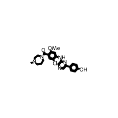 COc1cc(Nc2cncc(-c3ccc(O)cc3)n2)c(Cl)cc1C(=O)N1CCCN(C)CC1